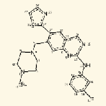 CC(C)(C)N1CCN(Cc2cc3nc(Nc4cccc(F)c4)ncc3cc2-c2nccs2)CC1